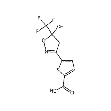 O=C(O)c1ccc(C2=NOC(O)(C(F)(F)F)C2)s1